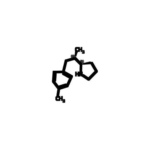 Cc1ccc(C[C@H](C)[C@@H]2CCCN2)cc1